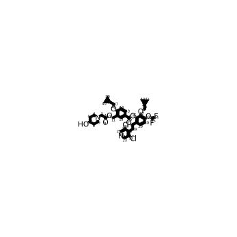 O=C(CN1CCC(O)CC1)OCc1cc(C(=O)OC(Cc2c(Cl)cncc2Cl)c2ccc(OC(F)F)c(OCC3CC3)c2)ccc1OCC1CC1